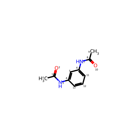 CC(=O)Nc1[c]c(NC(C)=O)ccc1